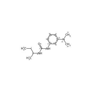 CCC(C)NC(=O)Nc1cccc(N(C)C)c1